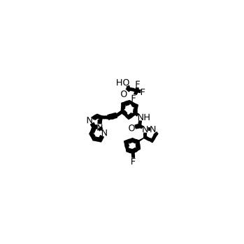 O=C(Nc1cccc(C#Cc2cnc3cccnn23)c1)N1N=CC[C@H]1c1cccc(F)c1.O=C(O)C(F)(F)F